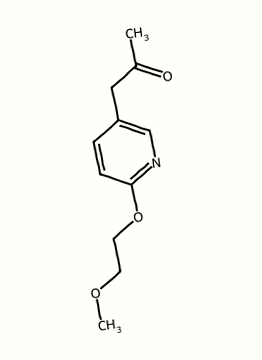 COCCOc1ccc(CC(C)=O)cn1